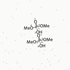 COP(=O)(O)OC.COP(=O)(O)OC